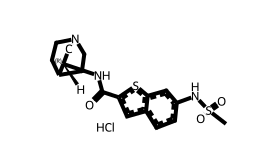 CS(=O)(=O)Nc1ccc2cc(C(=O)N[C@H]3CN4CCC3CC4)sc2c1.Cl